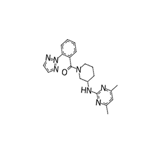 Cc1cc(C)nc(NC2CCCN(C(=O)c3ccccc3-n3nccn3)C2)n1